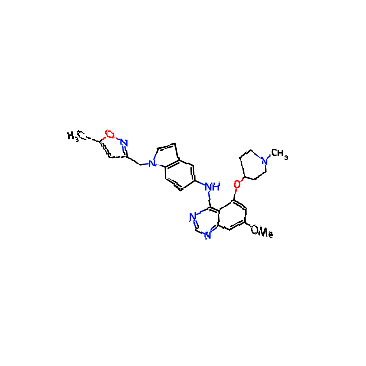 COc1cc(OC2CCN(C)CC2)c2c(Nc3ccc4c(ccn4Cc4cc(C)on4)c3)ncnc2c1